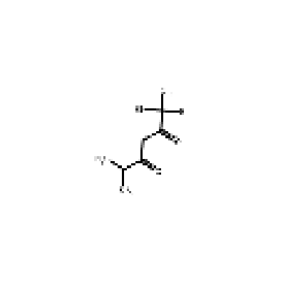 CCC(CC)(C(=O)CC(=O)C(C)C(F)(F)F)C(F)(F)F